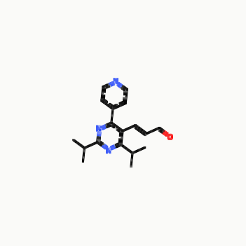 CC(C)c1nc(-c2ccncc2)c(C=CC=O)c(C(C)C)n1